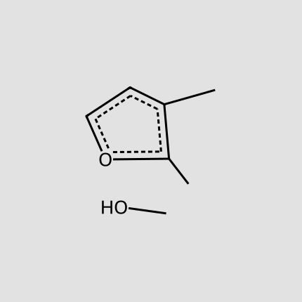 CO.Cc1ccoc1C